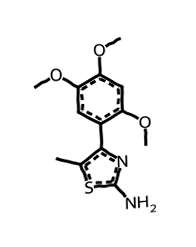 COc1cc(OC)c(-c2nc(N)sc2C)cc1OC